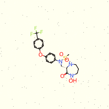 CN1CCCN(O)C(=O)[C@@H]1CN(c1ccc(Oc2ccc(C(F)(F)F)cc2)cc1)S(C)(=O)=O